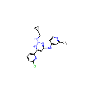 FC(F)(F)c1cc(NC2=NN(NCC3CC3)NC(c3cccc(Cl)n3)=C2)ccn1